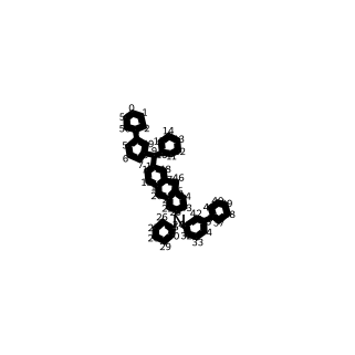 c1ccc(-c2cccc(C(c3ccccc3)c3ccc4cc5cc(N(c6ccccc6)c6cccc(-c7ccccc7)c6)ccc5cc4c3)c2)cc1